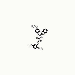 COc1ccc(CC(NC(=O)NCCc2cc(C)ccc2C)c2nc3ccccc3[nH]2)cc1